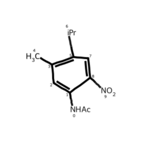 CC(=O)Nc1cc(C)c(C(C)C)cc1[N+](=O)[O-]